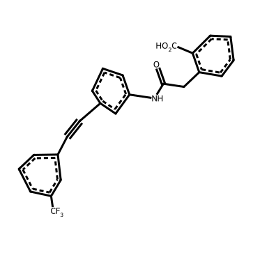 O=C(Cc1ccccc1C(=O)O)Nc1cccc(C#Cc2cccc(C(F)(F)F)c2)c1